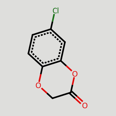 O=C1COc2ccc(Cl)cc2O1